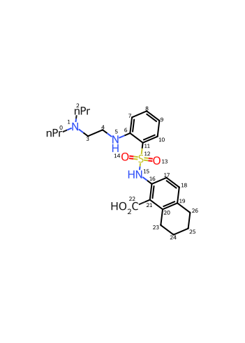 CCCN(CCC)CCNc1ccccc1S(=O)(=O)Nc1ccc2c(c1C(=O)O)CCCC2